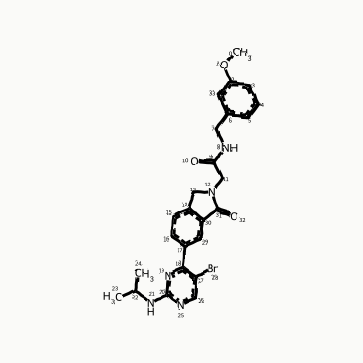 COc1cccc(CNC(=O)CN2Cc3ccc(-c4nc(NC(C)C)ncc4Br)cc3C2=O)c1